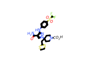 NC(=O)c1cn(C2(CC3SCCS3)CCN(C(=O)O)CC2)nc1Nc1ccc(S(=O)(=O)C(F)F)cc1